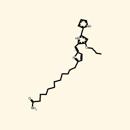 CCCOc1cc(-c2ccc[nH]2)[nH]c1/C=C1\C=CC(CCCCCCCCCCCC(N)=O)=N1